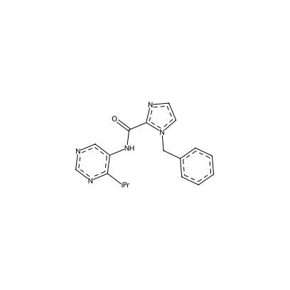 CC(C)c1ncncc1NC(=O)c1nccn1Cc1ccccc1